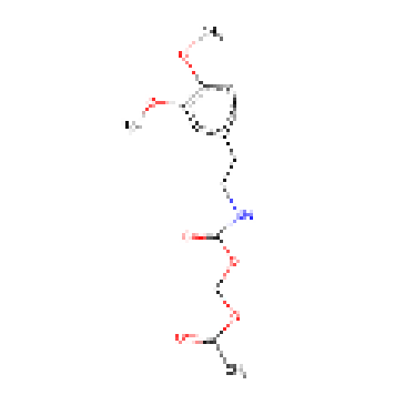 COc1ccc(CCNC(=O)OCOC(C)=O)cc1OC